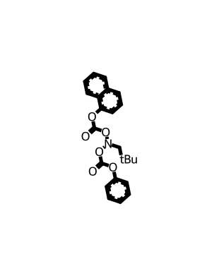 CC(C)(C)CN(OC(=O)Oc1ccccc1)OC(=O)Oc1cccc2ccccc12